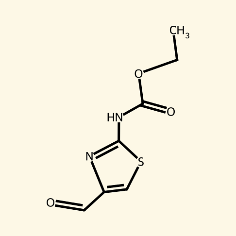 CCOC(=O)Nc1nc(C=O)cs1